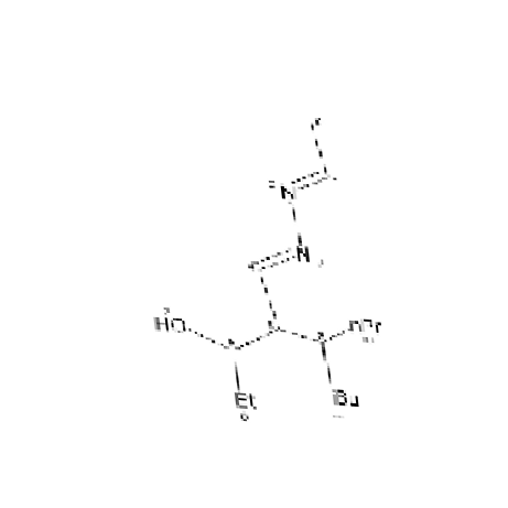 CC=NN=CC(C(O)CC)C(CCC)C(C)CC